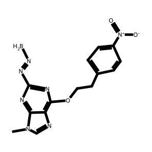 BN=Nc1nc(OCCc2ccc([N+](=O)[O-])cc2)c2ncn(C)c2n1